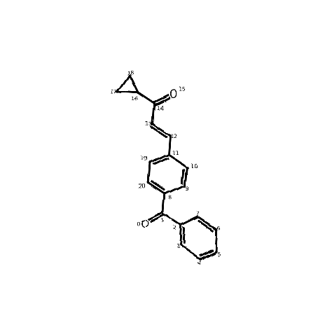 O=C(c1ccccc1)c1ccc(/C=C/C(=O)C2CC2)cc1